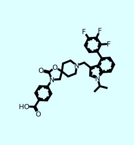 CC(C)n1cc(CN2CCC3(CC2)CN(c2ccc(C(=O)O)cc2)C(=O)O3)c2c(-c3ccc(F)c(F)c3F)cccc21